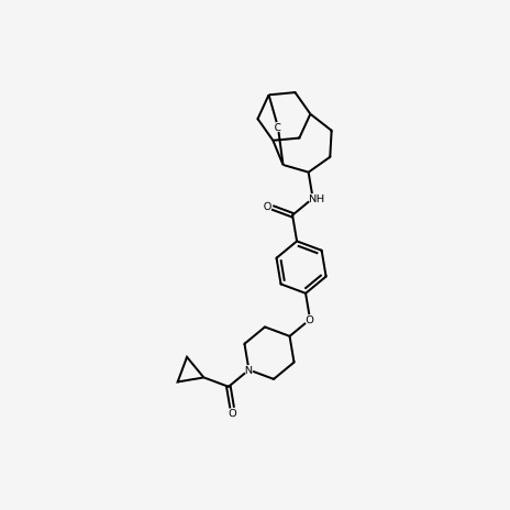 O=C(NC1CCC2CC3CC(C2)C1C3)c1ccc(OC2CCN(C(=O)C3CC3)CC2)cc1